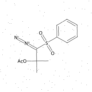 CC(=O)OC(C)(C)C(=[N+]=[N-])S(=O)(=O)c1ccccc1